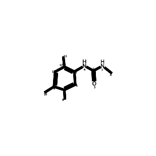 CNC(=O)Nc1cc(C)c(C)cc1C